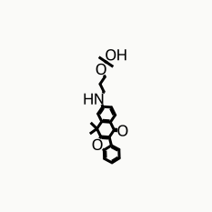 CC(C)(O)OCCCNc1ccc2c(c1)C(C)(C)c1oc3ccccc3c1C2=O